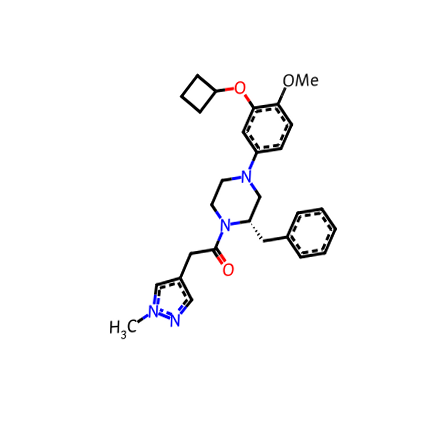 COc1ccc(N2CCN(C(=O)Cc3cnn(C)c3)[C@@H](Cc3ccccc3)C2)cc1OC1CCC1